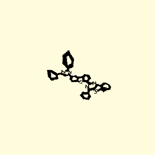 c1ccc(-c2cc(-c3ccc4sc5c(-c6nc(-c7ccccc7)c7sc8ccccc8c7n6)cccc5c4c3)nc(-c3ccccc3)n2)cc1